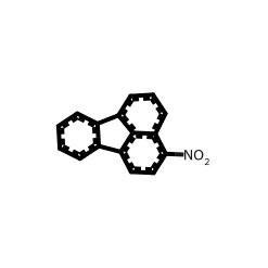 O=[N+]([O-])c1ccc2c3c(cccc13)-c1ccccc1-2